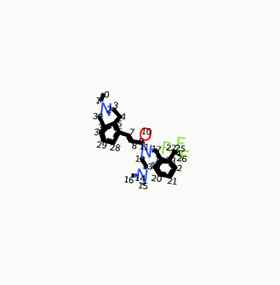 CCN1CCc2c(C=CC(=O)N(CCN(C)C)Cc3ccccc3C(F)(F)F)cccc2C1